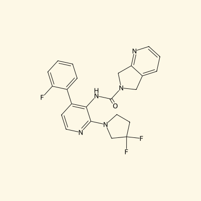 O=C(Nc1c(-c2ccccc2F)ccnc1N1CCC(F)(F)C1)N1Cc2cccnc2C1